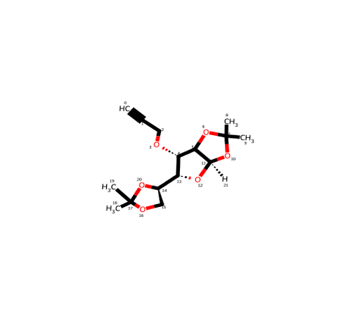 C#CCO[C@@H]1C2OC(C)(C)O[C@H]2O[C@@H]1[C@H]1COC(C)(C)O1